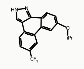 CC(C)Oc1ccc2c(c1)c1cc(C(F)(F)F)ccc1c1c[nH]nc21